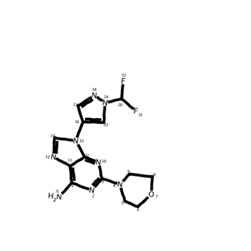 Nc1nc(N2CCOCC2)nc2c1ncn2-c1cnn(C(F)F)c1